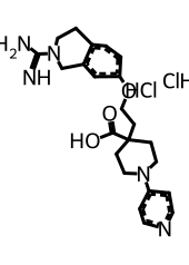 Cl.Cl.N=C(N)N1CCc2ccc(OCCC3(C(=O)O)CCN(c4ccncc4)CC3)cc2C1